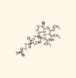 COC(=O)C1=C(C)NC(C)=C(C(=O)OC)C1c1cc(Br)ccc1OCCC(=O)NCCO[N+](=O)[O-]